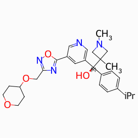 CC(C)c1ccc([C@](O)(c2cncc(-c3nc(COC4CCOCC4)no3)c2)C2(C)CN(C)C2)cc1